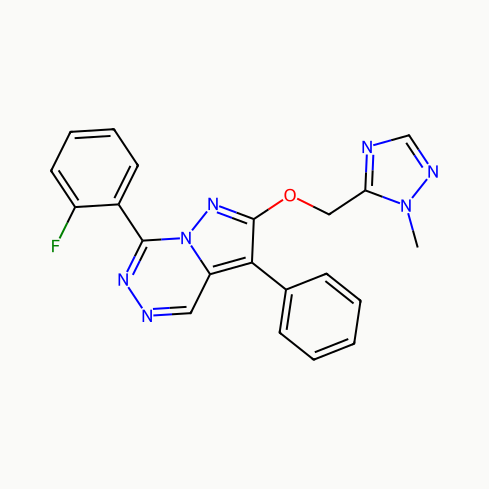 Cn1ncnc1COc1nn2c(-c3ccccc3F)nncc2c1-c1ccccc1